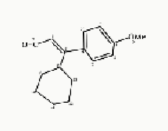 COc1ccc(C(=CC=O)C2CCCCC2)cc1